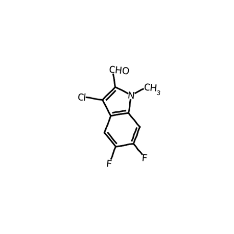 Cn1c(C=O)c(Cl)c2cc(F)c(F)cc21